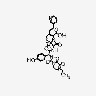 CCN1CCN(C(=O)NC(C(=O)NC2C(=O)N3C(C(=O)O)=C(C=Cc4cccnc4)CS[C@@H]23)c2ccc(O)cc2)C(=O)C1=O